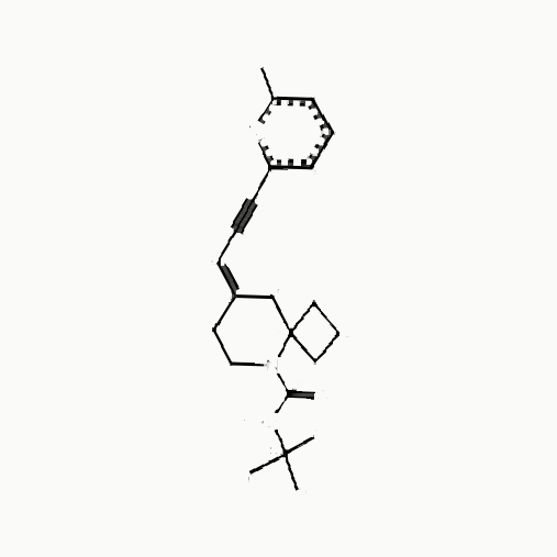 Cc1cccc(C#C/C=C2/CCN(C(=O)OC(C)(C)C)C3(CCC3)C2)n1